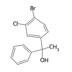 CC(O)(c1ccccc1)c1ccc(Br)c(Cl)c1